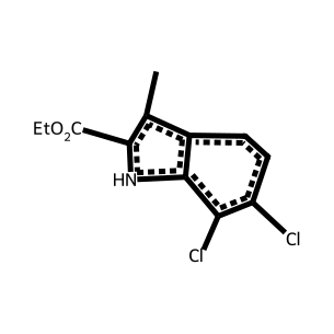 CCOC(=O)c1[nH]c2c(Cl)c(Cl)ccc2c1C